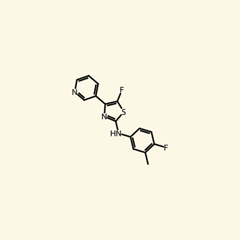 Cc1cc(Nc2nc(-c3cccnc3)c(F)s2)ccc1F